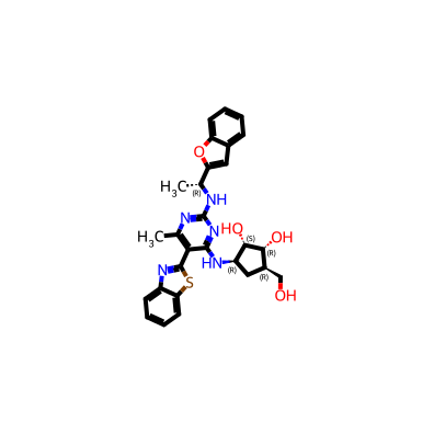 Cc1nc(N[C@H](C)c2cc3ccccc3o2)nc(N[C@@H]2C[C@H](CO)[C@@H](O)[C@H]2O)c1-c1nc2ccccc2s1